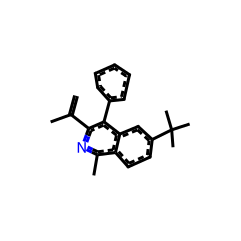 C=C(C)c1nc(C)c2ccc(C(C)(C)C)cc2c1-c1ccccc1